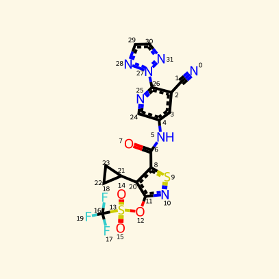 N#Cc1cc(NC(=O)c2snc(OS(=O)(=O)C(F)(F)F)c2C2CC2)cnc1-n1nccn1